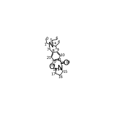 CC[N+](CC)(CC)Cc1ccc(C(=O)N2CCCC2=O)cc1